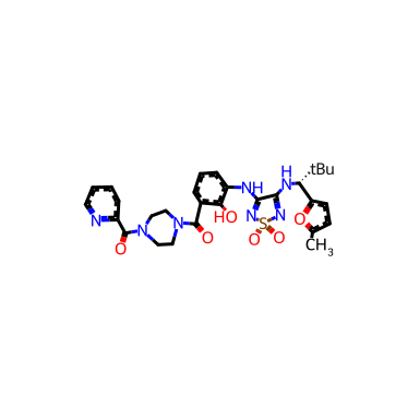 Cc1ccc([C@H](NC2=NS(=O)(=O)N=C2Nc2cccc(C(=O)N3CCN(C(=O)c4ccccn4)CC3)c2O)C(C)(C)C)o1